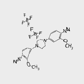 COc1cc(N2CCN(c3ccc([N+]#N)c(OC)c3)CC2)ccc1[N+]#N.F[B-](F)(F)F.F[B-](F)(F)F